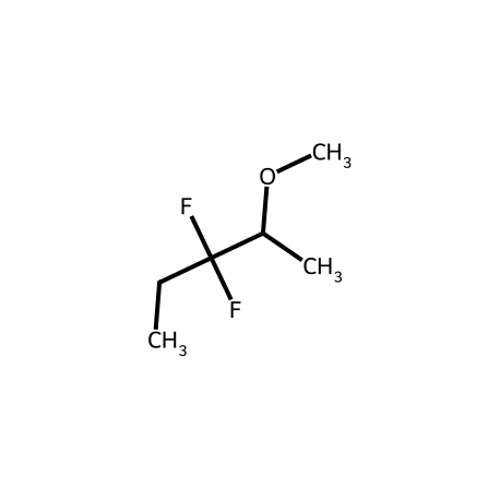 CCC(F)(F)C(C)OC